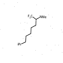 CNC(CCCCCC(C)C)C(F)(F)F